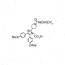 COc1ccc(-c2nc(C3CCN(C(=O)N(C)O)CC3)n(CC(=O)O)c2-c2ccc(OC)cc2)cc1